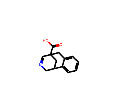 O=C(O)C12C=NCC(C1)c1ccccc1C2